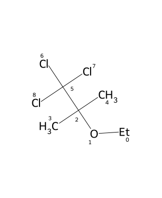 CCOC(C)(C)C(Cl)(Cl)Cl